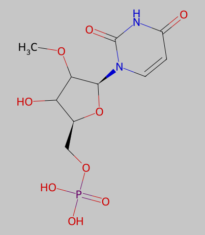 COC1C(O)[C@H](COP(=O)(O)O)O[C@@H]1n1ccc(=O)[nH]c1=O